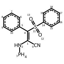 N#CC(N[PH4])=C(c1ccccc1)S(=O)(=O)c1ccccc1